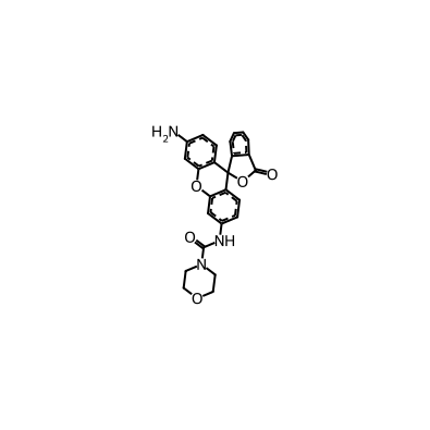 Nc1ccc2c(c1)Oc1cc(NC(=O)N3CCOCC3)ccc1C21OC(=O)c2ccccc21